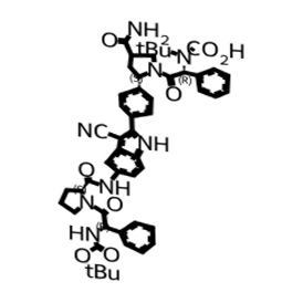 CC(C)(C)OC(=O)N[C@@H](C(=O)N1CCC[C@H]1C(=O)Nc1ccc2[nH]c(-c3ccc([C@@H]4CC(C(N)=O)CN4C(=O)[C@@H](c4ccccc4)N(C(=O)O)C(C)(C)C)cc3)c(C#N)c2c1)c1ccccc1